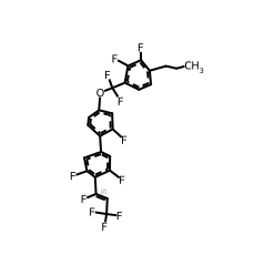 CCCc1ccc(C(F)(F)Oc2ccc(-c3cc(F)c(/C(F)=C/C(F)(F)F)c(F)c3)c(F)c2)c(F)c1F